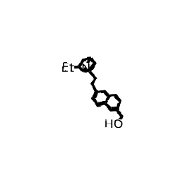 CCC1CC2C=CC1N(CCc1ccc3cc(CO)ccc3c1)C2